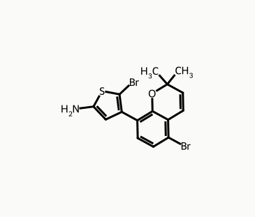 CC1(C)C=Cc2c(Br)ccc(-c3cc(N)sc3Br)c2O1